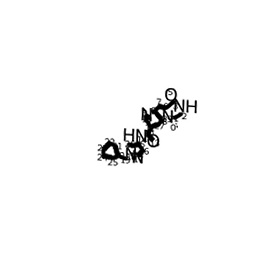 C[C@H]1CNC(=O)c2cc3ncc(C(=O)Nc4cnn(Cc5ccccc5)c4)cc3n21